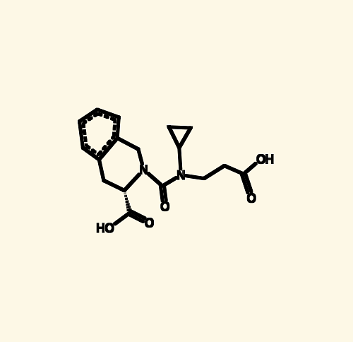 O=C(O)CCN(C(=O)N1Cc2ccccc2C[C@H]1C(=O)O)C1CC1